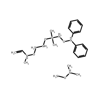 C=C[SiH](C)O[SiH2][SiH2]O[Si](C)(C)[SiH2]O[SiH](c1ccccc1)c1ccccc1.C[SiH](C)O[SiH3]